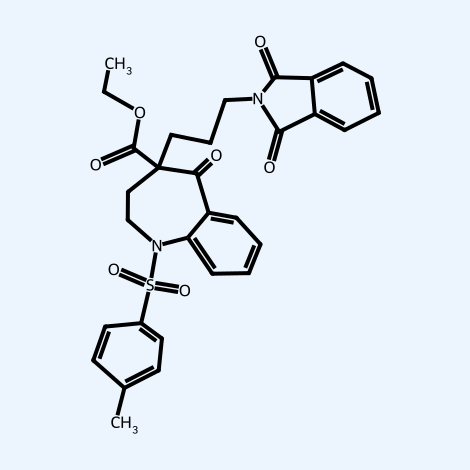 CCOC(=O)C1(CCCN2C(=O)c3ccccc3C2=O)CCN(S(=O)(=O)c2ccc(C)cc2)c2ccccc2C1=O